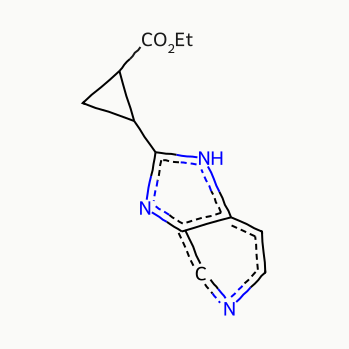 CCOC(=O)C1CC1c1nc2cnccc2[nH]1